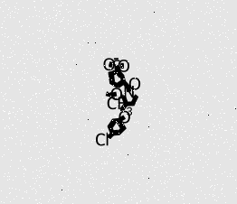 C[C@H](Oc1ccc(S(C)(=O)=O)cc1C(=O)N1CCC(COc2ccc(Cl)cc2)C1)C(F)(F)F